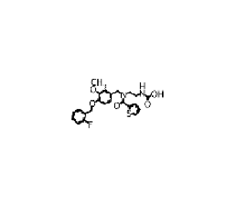 COc1cc(CN(CCNC(=O)O)C(=O)c2cccs2)ccc1OCc1ccccc1F